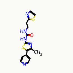 Cc1nc(NC(=O)NCCc2nccs2)sc1-c1ccncc1